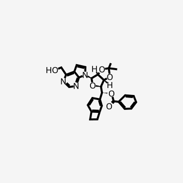 CC1(C)O[C@H]2[C@@H](O1)[C@H](n1ccc3c(CO)ncnc31)O[C@@H]2[C@H](OC(=O)c1ccccc1)c1ccc2c(c1)CC2